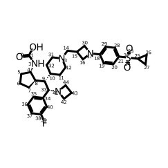 O=C(O)N[C@H]1CCC[C@@H]1[C@H](C1CCN(CC2CN(c3ccc(S(=O)(=O)C4CC4)cc3)C2)CC1)[C@@H](c1cccc(F)c1)N1CCC1